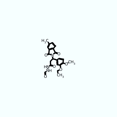 CCOc1cc(C(CC(=O)NNC=O)N2C(=O)c3ccc(C)cc3C2=O)ccc1OC